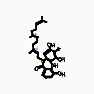 CC(C)=CCC/C(C)=C/CC/C(C)=C/CN1C(=O)c2cccc(O)c2Nc2c1cc(O)c(Br)c2O